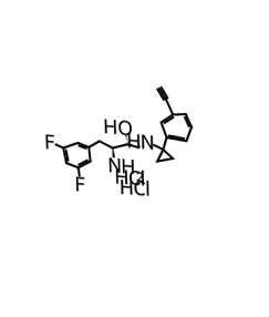 C#Cc1cccc(C2(NC[C@@H](O)[C@@H](N)Cc3cc(F)cc(F)c3)CC2)c1.Cl.Cl